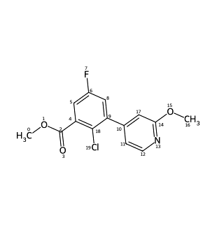 COC(=O)c1cc(F)cc(-c2ccnc(OC)c2)c1Cl